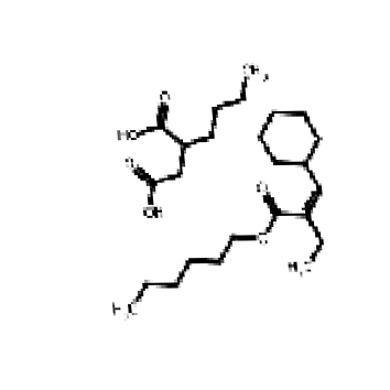 CCCCC(CC(=O)O)C(=O)O.CCCCCCOC(=O)C(=CC1CCCCC1)CC